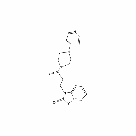 O=C(CCn1c(=O)oc2ccccc21)N1CCN(c2ccncc2)CC1